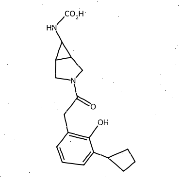 O=C(O)NC1C2CN(C(=O)Cc3cccc(C4CCC4)c3O)CC21